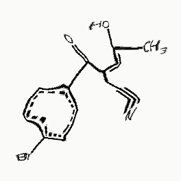 C/C(O)=C(\C#N)C(=O)c1ccc(Br)cc1